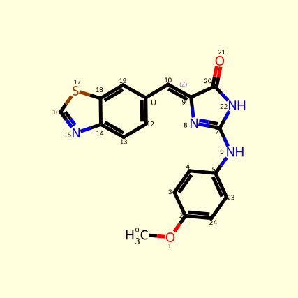 COc1ccc(NC2=N/C(=C\c3ccc4ncsc4c3)C(=O)N2)cc1